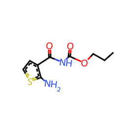 CCCOC(=O)NC(=O)c1ccsc1N